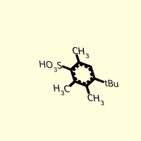 Cc1cc(C(C)(C)C)c(C)c(C)c1S(=O)(=O)O